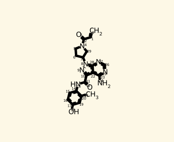 C=CC(=O)N1CCC(n2nc(C(=O)Nc3ccc(O)cc3C)c3c(N)ncnc32)C1